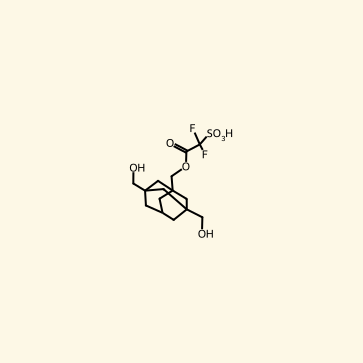 O=C(OCC12CC3CC(CO)(CC(CO)(C3)C1)C2)C(F)(F)S(=O)(=O)O